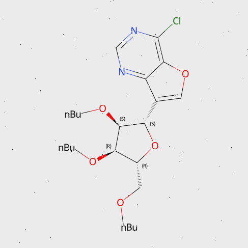 CCCCOC[C@H]1O[C@@H](c2coc3c(Cl)ncnc23)[C@H](OCCCC)[C@@H]1OCCCC